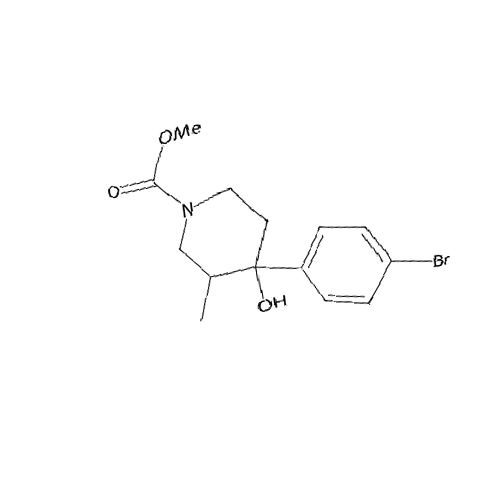 COC(=O)N1CCC(O)(c2ccc(Br)cc2)C(C)C1